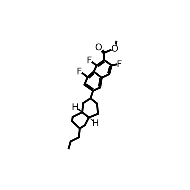 CCCC1CC[C@@H]2CC(c3cc(F)c4c(F)c(C(=O)OC)c(F)cc4c3)CC[C@H]2C1